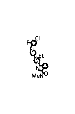 CC[C@H]1CN(c2ncc(C(=O)NC)c3ccccc23)CCN1C1CCN(Cc2ccc(Cl)cc2F)CC1